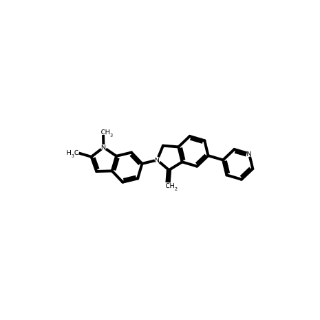 C=C1c2cc(-c3cccnc3)ccc2CN1c1ccc2cc(C)n(C)c2c1